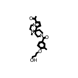 CC(=O)c1ccc2n1CCN(C)C21CCN(C(=O)c2ccc(OCCCO)c(C)c2)CC1